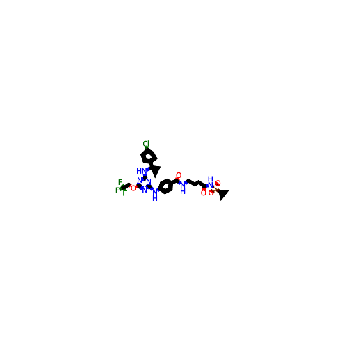 O=C(CCCNC(=O)c1ccc(Nc2nc(NC3(c4ccc(Cl)cc4)CC3)nc(OCC(F)(F)F)n2)cc1)NS(=O)(=O)C1CC1